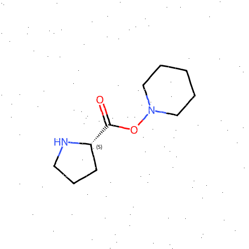 O=C(ON1CCCCC1)[C@@H]1CCCN1